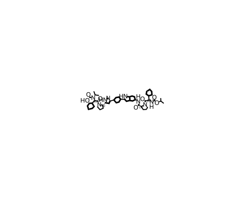 CC(C)OC(=O)N[C@@H](C(=O)N1CCC[C@H]1C(=O)Nc1ccc2[nH]c(-c3ccc(-c4cc([C@@H]5CCCN5C(=O)[C@@H](c5ccccc5)N(C(=O)O)C(C)C)[nH]n4)cc3)cc2c1)c1ccccc1